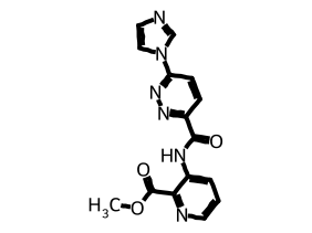 COC(=O)c1ncccc1NC(=O)c1ccc(-n2ccnc2)nn1